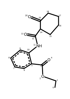 CCOC(=O)c1ccccc1NC(=O)C1CCCCC1=O